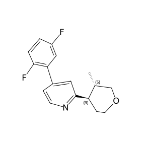 C[C@@H]1COCC[C@H]1c1cc(-c2cc(F)ccc2F)ccn1